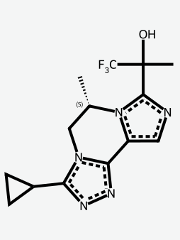 C[C@H]1Cn2c(nnc2C2CC2)-c2cnc(C(C)(O)C(F)(F)F)n21